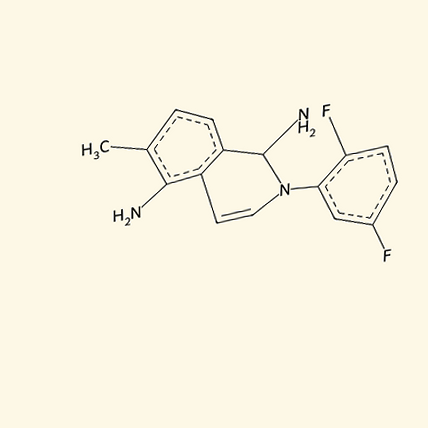 Cc1ccc2c(c1N)C=CN(c1cc(F)ccc1F)C2N